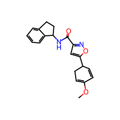 COC1=CCC(c2cc(C(=O)NC3CCc4ccccc43)no2)C=C1